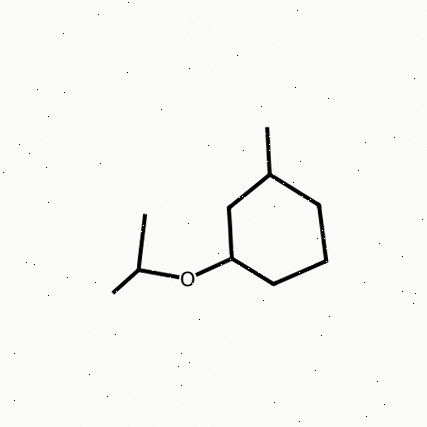 CC1CCCC(OC(C)C)C1